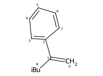 C=C(c1ccccc1)C(C)CC